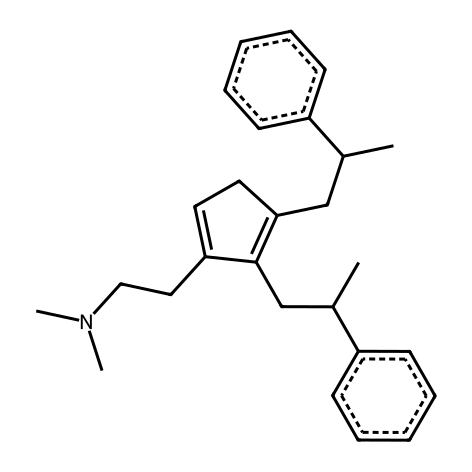 CC(CC1=C(CC(C)c2ccccc2)C(CCN(C)C)=CC1)c1ccccc1